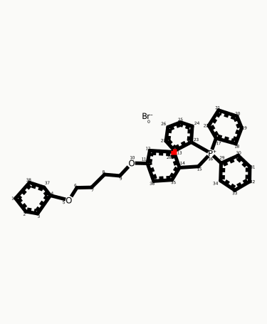 [Br-].c1ccc(OCCCCOc2ccc(C[P+](c3ccccc3)(c3ccccc3)c3ccccc3)cc2)cc1